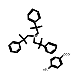 CC(C)([CH2][Sn+]([CH2]C(C)(C)c1ccccc1)[CH2]C(C)(C)c1ccccc1)c1ccccc1.CCCCc1ccc(C(=O)[O-])cc1